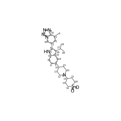 Cc1cc(-c2[nH]c3ccc(C4CCN(C5CCS(=O)(=O)CC5)CC4)cc3c2C(C)C)cn2nnnc12